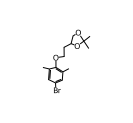 Cc1cc(Br)cc(C)c1OCCC1COC(C)(C)O1